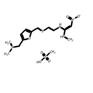 CN/C(=C/[N+](=O)[O-])NCCSCc1ccc(CN(C)C)o1.CS(=O)(=O)O